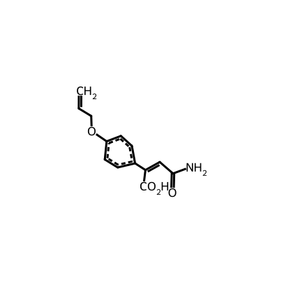 C=CCOc1ccc(C(=CC(N)=O)C(=O)O)cc1